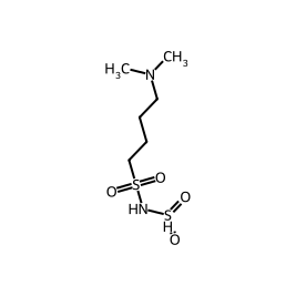 CN(C)CCCCS(=O)(=O)N[SH](=O)=O